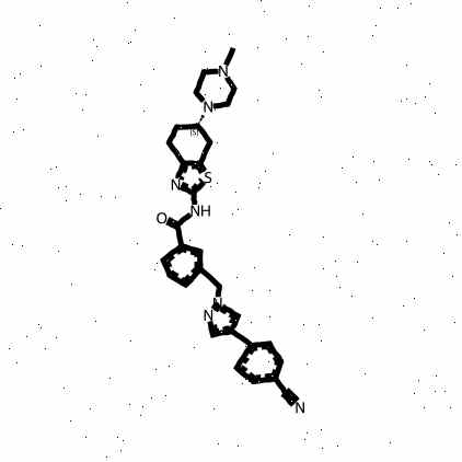 CN1CCN([C@H]2CCc3nc(NC(=O)c4cccc(Cn5cc(-c6ccc(C#N)cc6)cn5)c4)sc3C2)CC1